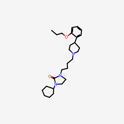 CCCOc1ccccc1C1CCN(CCCCN2CCN(C3CCCCC3)C2=O)CC1